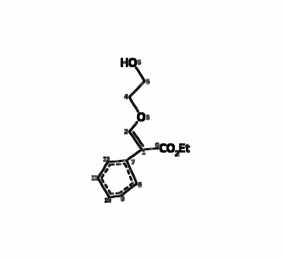 CCOC(=O)C(=COCCO)c1ccccc1